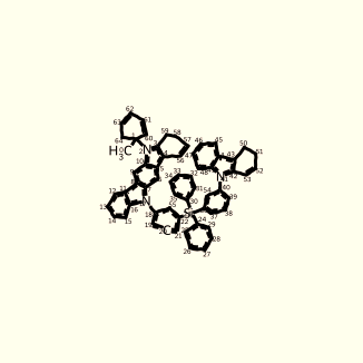 CC1(n2c3c(c4cc5c(cc42)c2ccccc2n5-c2cccc([Si](c4ccccc4)(c4ccccc4)c4cccc(-n5c6c(c7ccccc75)CCC=C6)c4)c2)C=CCC3)C=CC=CC1